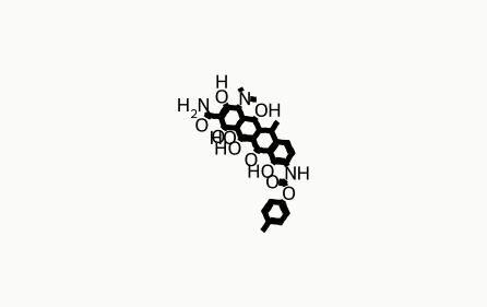 Cc1ccc(OC(=O)Nc2ccc3c(c2O)C(=O)C2=C(O)C4(O)C(=O)C(C(N)=O)=C(O)C(N(C)C)C4C(O)C2C3C)cc1